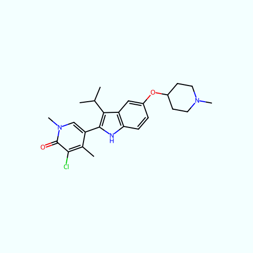 Cc1c(-c2[nH]c3ccc(OC4CCN(C)CC4)cc3c2C(C)C)cn(C)c(=O)c1Cl